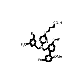 COc1ccc(C(C)C)cc1-c1ccc(OC(C)C)cc1CN(Cc1cc(CF)cc(C(F)(F)F)c1)c1ncc(OCCCC(=O)O)cn1